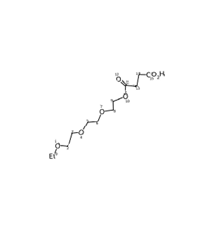 CCOCCOCCOCCOC(=O)CCC(=O)O